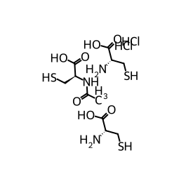 CC(=O)N[C@@H](CS)C(=O)O.Cl.Cl.N[C@@H](CS)C(=O)O.N[C@@H](CS)C(=O)O